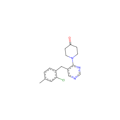 Cc1ccc(Cc2cncnc2N2CCC(=O)CC2)c(Cl)c1